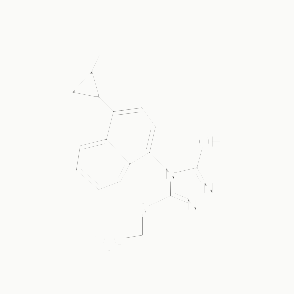 O=C(O)CSc1nnc(O)n1-c1ccc(C2CC2F)c2ccccc12